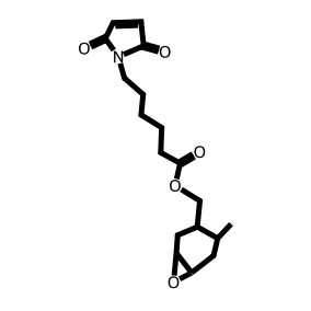 CC1CC2OC2CC1COC(=O)CCCCCN1C(=O)C=CC1=O